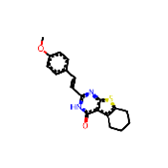 COc1ccc(C=Cc2nc3sc4c(c3c(=O)[nH]2)CCCC4)cc1